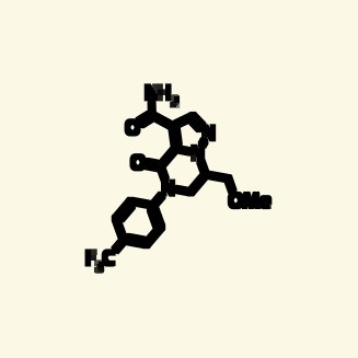 COCC1CN(c2ccc(C(F)(F)F)cc2)C(=O)c2c(C(N)=O)cnn21